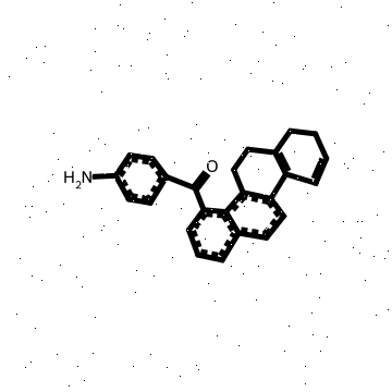 Nc1ccc(C(=O)c2cccc3ccc4c(c23)CCC2=C4C=CCC2)cc1